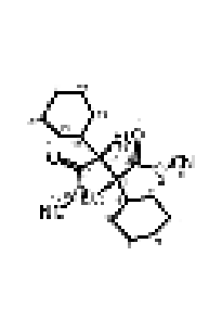 CCC(C(=O)OC#N)(C1CCCCC1)C(CC)(C(=O)OC#N)C1CCCCC1